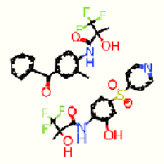 CC(O)(C(=O)Nc1ccc(S(=O)(=O)c2ccncc2)cc1O)C(F)(F)F.Cc1cc(C(=O)c2ccccc2)ccc1NC(=O)C(C)(O)C(F)(F)F